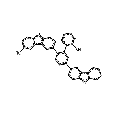 N#Cc1ccc2oc3ccc(-c4ccc(-c5ccc6oc7ccccc7c6c5)cc4-c4ccccc4C#N)cc3c2c1